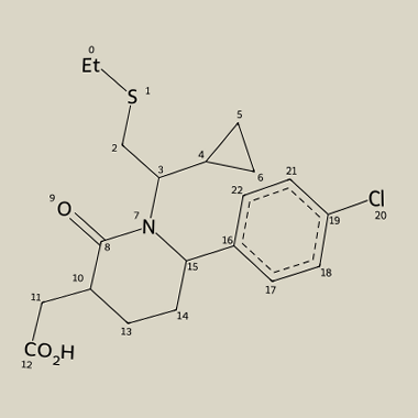 CCSCC(C1CC1)N1C(=O)C(CC(=O)O)CCC1c1ccc(Cl)cc1